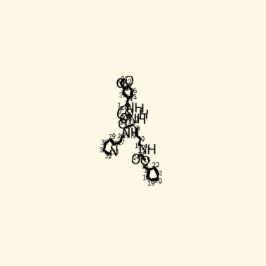 O=C(O)C[C@H](NC(=O)N[C@@H](CCCCNC(=O)OCc1ccccc1)C(=O)NCCc1ccccn1)c1ccc2c(c1)OCO2